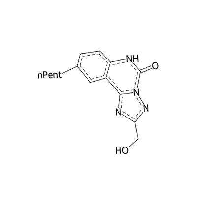 CCCCCc1ccc2[nH]c(=O)n3nc(CO)nc3c2c1